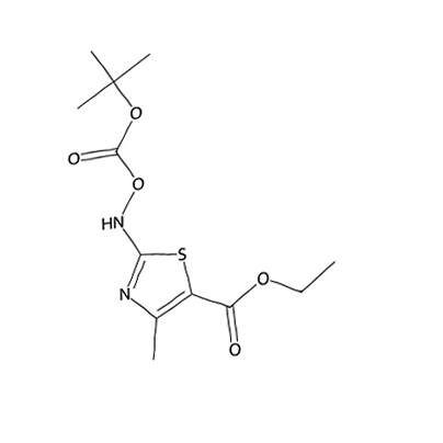 CCOC(=O)c1sc(NOC(=O)OC(C)(C)C)nc1C